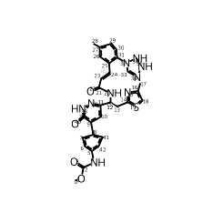 COC(=O)Nc1ccc(-c2cc([C@H](Cc3nc(C)cs3)NC(=O)/C=C/c3cc(C)ccc3N3C=NNN3)n[nH]c2=O)cc1